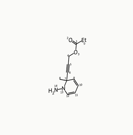 CCC(=O)OCC#CC1(C)C=CC=CN1N